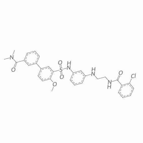 COc1ccc(-c2cccc(C(=O)N(C)C)c2)cc1S(=O)(=O)Nc1cccc(NCCNC(=O)c2ccccc2Cl)c1